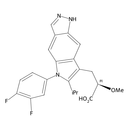 CO[C@H](Cc1c(C(C)C)n(-c2ccc(F)c(F)c2)c2cc3cn[nH]c3cc12)C(=O)O